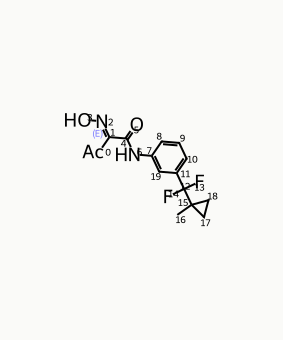 CC(=O)/C(=N\O)C(=O)Nc1cccc(C(F)(F)C2(C)CC2)c1